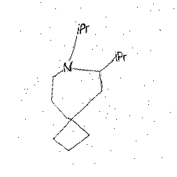 CC(C)C1CC2(CCC2)CCN1C(C)C